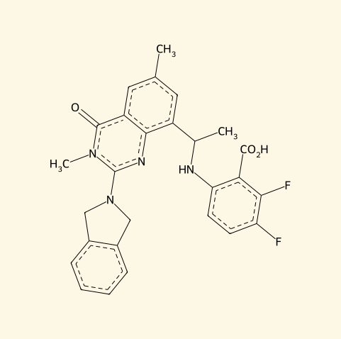 Cc1cc(C(C)Nc2ccc(F)c(F)c2C(=O)O)c2nc(N3Cc4ccccc4C3)n(C)c(=O)c2c1